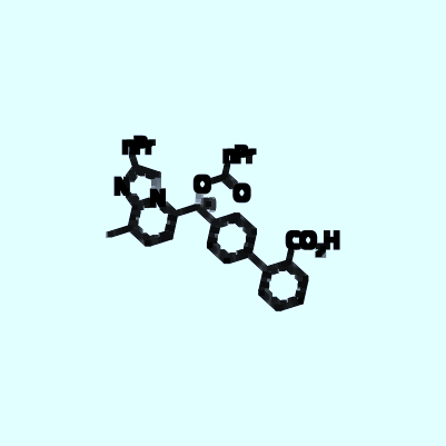 CCCC(=O)O[C@H](c1ccc(-c2ccccc2C(=O)O)cc1)c1ccc(C)c2nc(CCC)cn12